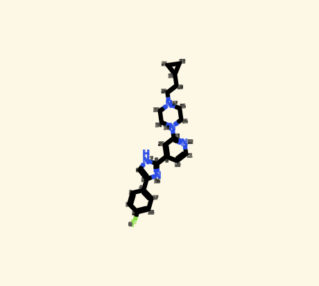 Fc1ccc(-c2c[nH]c(-c3ccnc(N4CCN(CCC5CC5)CC4)c3)n2)cc1